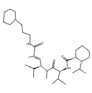 C/C(=C\[C@H](C(C)C)N(C)C(=O)[C@@H](NC(=O)[C@H]1CCCCN1C(C)C)C(C)C)C(=O)NCCCN1CCOCC1